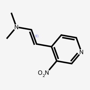 CN(C)/C=C/c1ccncc1[N+](=O)[O-]